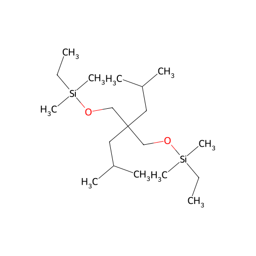 CC[Si](C)(C)OCC(CO[Si](C)(C)CC)(CC(C)C)CC(C)C